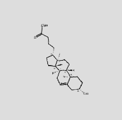 COC(=O)CCC[C@H]1CC[C@H]2[C@@H]3CC=C4C[C@@H](O)CC[C@]4(C)[C@H]3CC[C@]12C